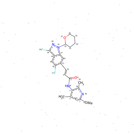 COc1cc(C)c(NC(=O)/C=C/c2cc3c(cc2F)c(F)nn3C2CCCCO2)c(C)n1